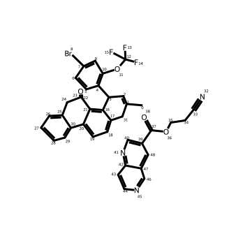 CC1=CC(c2ccc(Br)cc2OC(F)(F)F)c2c(ccc3c2C(=O)Cc2ccccc2-3)C1.N#CCCOC(=O)c1cnc2ccncc2c1